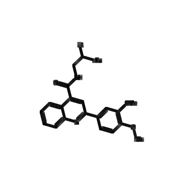 CCCCOc1ccc(-c2cc(C(=O)NCC(CC)CCCC)c3ccccc3n2)cc1OC